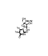 [2H]c1c([2H])n([C@@H]2O[C@@](CO)(N=[N+]=[N-])C(O)[C@@]2(C)O)c(=O)[nH]c1=O